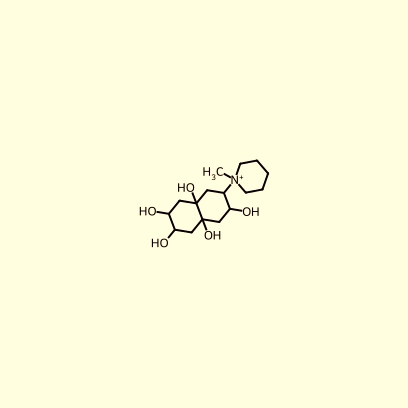 C[N+]1(C2CC3(O)CC(O)C(O)CC3(O)CC2O)CCCCC1